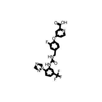 O=C(NCc1ccc(Oc2ccnc(C(=O)O)c2)c(F)c1)Nc1cc(C(F)(F)F)ccc1-n1cncn1